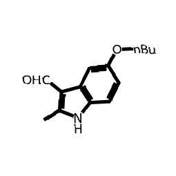 CCCCOc1ccc2[nH]c(C)c(C=O)c2c1